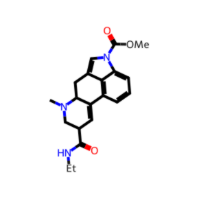 CCNC(=O)C1C=C2c3cccc4c3c(cn4C(=O)OC)CC2N(C)C1